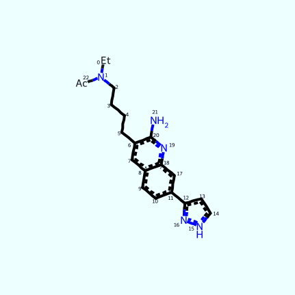 CCN(CCCCc1cc2ccc(-c3cc[nH]n3)cc2nc1N)C(C)=O